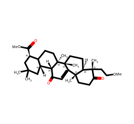 COCC[C@]1(C)C(=O)CC[C@]2(C)C3=CC(=O)[C@@H]4[C@@H]5CC(C)(C)C[C@@H](C(=O)OC)C5CC[C@@]4(C)[C@]3(C)CC[C@@H]12